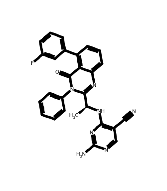 C[C@H](Nc1nc(N)ncc1C#N)c1nc2cccc(-c3cccc(F)c3)c2c(=O)n1-c1ccccc1